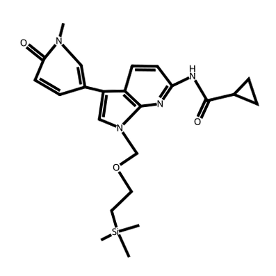 Cn1cc(-c2cn(COCC[Si](C)(C)C)c3nc(NC(=O)C4CC4)ccc23)ccc1=O